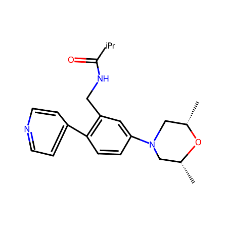 CC(C)C(=O)NCc1cc(N2C[C@@H](C)O[C@@H](C)C2)ccc1-c1ccncc1